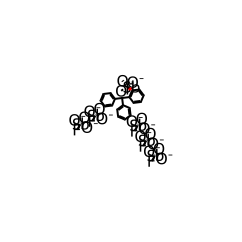 [O]=[Sb]([O-])([F])[O]C(c1ccccc1)(c1ccccc1)c1ccccc1.[O]=[Sb]([O-])([O-])[F].[O]=[Sb]([O-])([O-])[F].[O]=[Sb]([O-])([O-])[F].[O]=[Sb]([O-])([O-])[F].[O]=[Sb]([O-])([O-])[F]